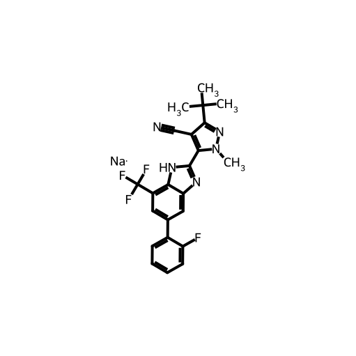 Cn1nc(C(C)(C)C)c(C#N)c1-c1nc2cc(-c3ccccc3F)cc(C(F)(F)F)c2[nH]1.[Na]